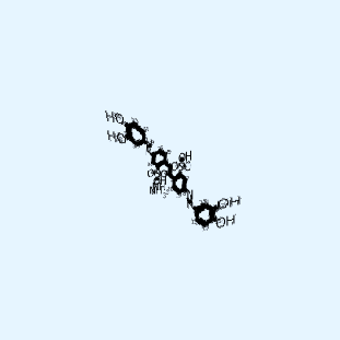 N.N.O=S(=O)(O)c1cc(N=Nc2ccc(O)c(O)c2)ccc1C=Cc1ccc(N=Nc2ccc(O)c(O)c2)cc1S(=O)(=O)O